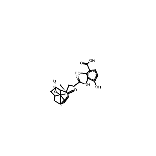 CC12C[C@@]34C=CC(=O)[C@@](C)(CCC(=O)Nc5c(O)ccc(C(=O)O)c5O)C3[C@H](CC1C4)O2